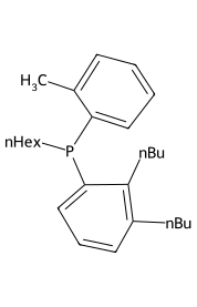 CCCCCCP(c1ccccc1C)c1cccc(CCCC)c1CCCC